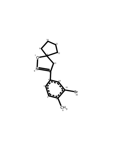 Cc1ccc(C2=NOC3(CCCC3)C2)cc1Br